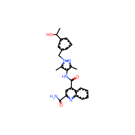 Cc1nn(Cc2cccc(C(C)O)c2)c(C)c1NC(=O)c1cc(C(N)=O)nc2ccccc12